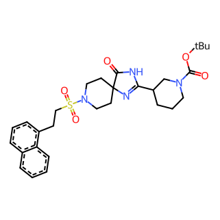 CC(C)(C)OC(=O)N1CCCC(C2=NC3(CCN(S(=O)(=O)CCc4cccc5ccccc45)CC3)C(=O)N2)C1